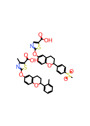 CS(=O)(=O)c1ccc(C2CCc3cc(Oc4ncc(C(=O)O)s4)ccc3O2)cc1.Cc1ccccc1C1CCc2cc(Oc3nc(C)c(C(=O)O)s3)ccc2O1